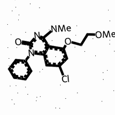 CNc1nc(=O)n(-c2ccccc2)c2cc(Cl)cc(OCCOC)c12